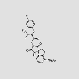 CC(=O)Nc1cccc2c1CCC21NC(=O)N(CC(=O)N(Cc2ccc(F)cc2)[C@@H](C)C(F)(F)F)C1=O